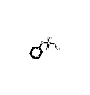 O=P(O)(Oc1ccccc1)SS